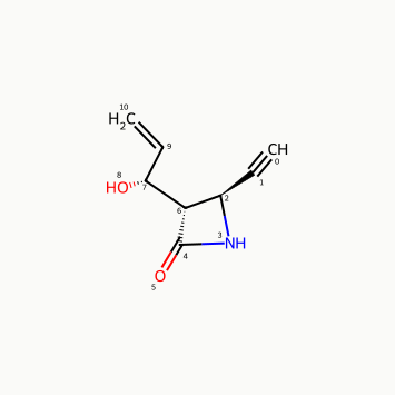 C#C[C@H]1NC(=O)[C@@H]1[C@H](O)C=C